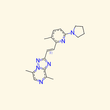 Cc1ccc(N2CCCC2)nc1/C=C/c1nc2c(C)ncc(C)n2n1